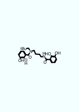 CC(C)(C)CN(CCCCNC(=O)c1cccc(O)c1O)C(=O)c1cccc(O)c1O